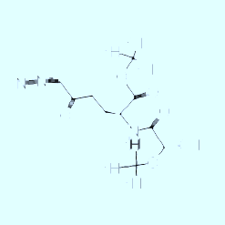 [2H]C([2H])([2H])OC(=O)[C@H](CCC(=O)C=[N+]=[N-])NC(=O)[C@H](C)OC([2H])([2H])[2H]